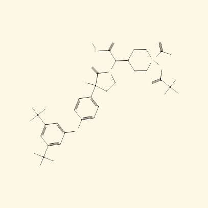 CC(=O)[N+]1(OC(=O)C(F)(F)F)CCC(C(C(=O)NO)N2CCC(N)(c3ccc(Oc4cc(C(F)(F)F)cc(C(F)(F)F)c4)cc3)C2=O)CC1